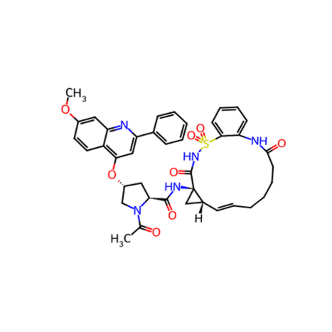 COc1ccc2c(O[C@@H]3C[C@@H](C(=O)N[C@]45C[C@H]4/C=C/CCCCC(=O)Nc4ccccc4S(=O)(=O)NC5=O)N(C(C)=O)C3)cc(-c3ccccc3)nc2c1